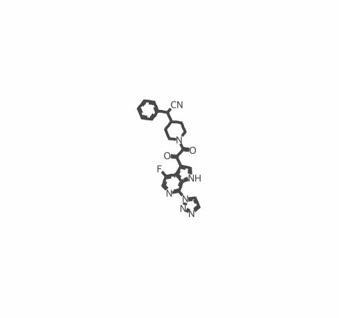 N#CC(c1ccccc1)C1CCN(C(=O)C(=O)c2c[nH]c3c(-n4ccnn4)ncc(F)c23)CC1